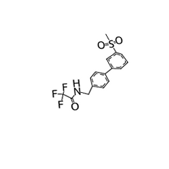 CS(=O)(=O)c1cccc(-c2ccc(CNC(=O)C(F)(F)F)cc2)c1